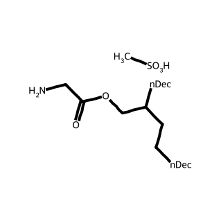 CCCCCCCCCCCCC(CCCCCCCCCC)COC(=O)CN.CS(=O)(=O)O